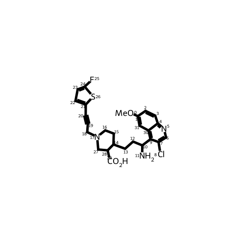 COc1ccc2ncc(Cl)c(C(N)CCC3CCN(CC#Cc4ccc(F)s4)CC3C(=O)O)c2c1